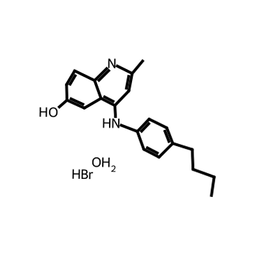 Br.CCCCc1ccc(Nc2cc(C)nc3ccc(O)cc23)cc1.O